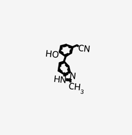 Cc1nc2cc(-c3cc(CC#N)ccc3O)ccc2[nH]1